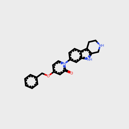 O=c1cc(OCc2ccccc2)ccn1-c1ccc2c3c([nH]c2c1)CNCC3